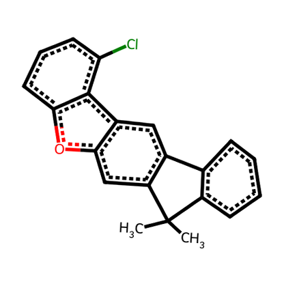 CC1(C)c2ccccc2-c2cc3c(cc21)oc1cccc(Cl)c13